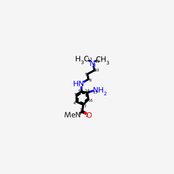 CNC(=O)c1ccc(NCCCN(C)C)c(N)c1